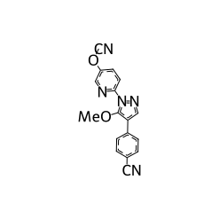 COc1c(-c2ccc(C#N)cc2)cnn1-c1ccc(OC#N)cn1